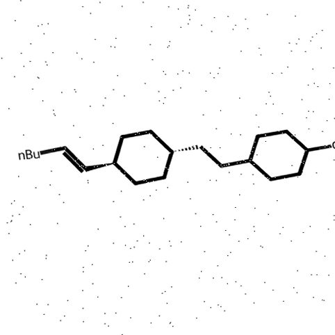 CCCC/C=C/[C@H]1CC[C@H](CCC2CCC(C#N)CC2)CC1